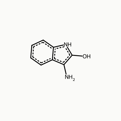 Nc1c(O)[nH]c2ccccc12